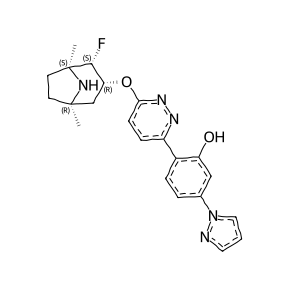 C[C@]12CC[C@](C)(N1)[C@H](F)[C@H](Oc1ccc(-c3ccc(-n4cccn4)cc3O)nn1)C2